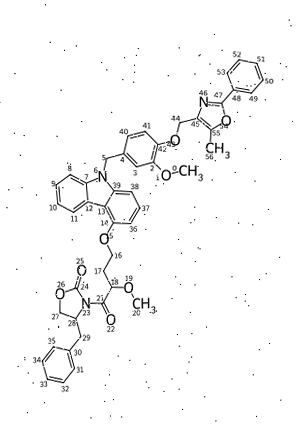 COc1cc(Cn2c3ccccc3c3c(OCCC(OC)C(=O)N4C(=O)OCC4Cc4ccccc4)cccc32)ccc1OCc1nc(-c2ccccc2)oc1C